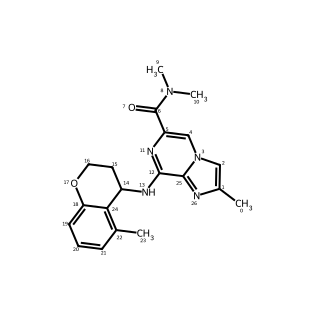 Cc1cn2cc(C(=O)N(C)C)nc(NC3CCOc4cccc(C)c43)c2n1